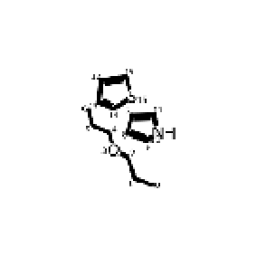 CCCOCCC.c1cc[nH]c1.c1ccsc1